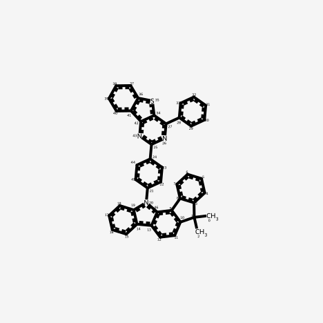 CC1(C)c2ccccc2-c2c1ccc1c3ccccc3n(-c3ccc(-c4nc(-c5ccccc5)c5sc6ccccc6c5n4)cc3)c21